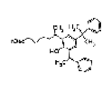 CCCCCCCCCCCCCCC(C)c1cc(C(C)(C)c2ccccc2)cc(C(C)c2ccccc2)c1O